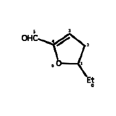 CCC1CC=C(C=O)O1